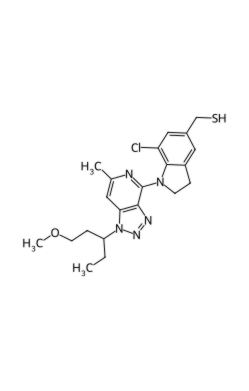 CCC(CCOC)n1nnc2c(N3CCc4cc(CS)cc(Cl)c43)nc(C)cc21